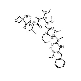 CC[C@H](C)[C@@H]([C@@H](CC(=O)N1CCCC[C@H]1[C@H](OC)[C@@H](C)C(=O)N[C@@H](Cc1ccccc1)C(=O)OC)OC)N(C)C(=O)[C@@H](NC(=O)C1(N)COC1)C(C)C